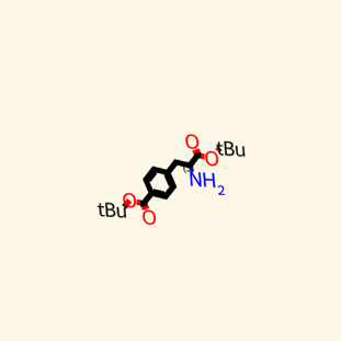 CC(C)(C)OC(=O)c1ccc(C[C@H](N)C(=O)OC(C)(C)C)cc1